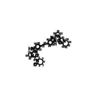 O=C1CCCCCN1CC(=O)N1CCC[C@H]1c1nc2cc(C#Cc3ccc4[nH]c([C@@H]5CCCN5C(=O)CN5CCCCCC5=O)nc4c3)ccc2[nH]1